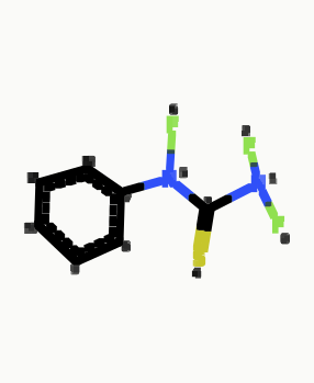 FN(F)C(=S)N(F)c1ccccc1